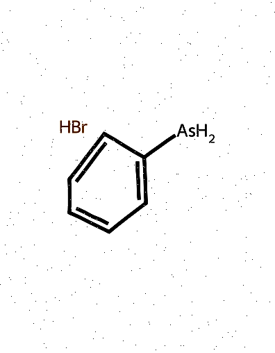 Br.[AsH2]c1ccccc1